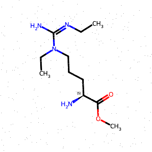 CCN=C(N)N(CC)CCC[C@H](N)C(=O)OC